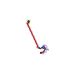 CCCN(CCCNC(=O)OC1CCC1)C(=O)C1=Cc2sc(CC3CN(C(=O)CCOCCOCCOCCOCCOCCOCCOCCOCCOCCOCCC(=O)Oc4c(F)c(F)cc(F)c4F)C3)cc2N=C(N)C1